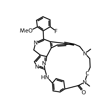 COc1cccc(F)c1C1=NCc2cnc3nc2-c2ccc(cc21)CN(C)CCCN(C)C(=O)c1ccc(cc1)N3